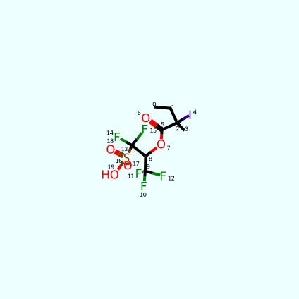 CCC(C)(I)C(=O)OC(C(F)(F)F)C(F)(F)S(=O)(=O)O